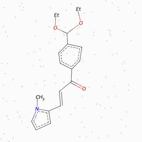 CCOC(OCC)c1ccc(C(=O)C=Cc2cccn2C)cc1